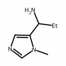 CCC(N)c1cncn1C